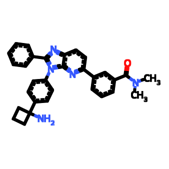 CN(C)C(=O)c1cccc(-c2ccc3nc(-c4ccccc4)n(-c4ccc(C5(N)CCC5)cc4)c3n2)c1